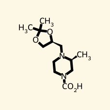 C[C@H]1CN(C(=O)O)CCN1C[C@H]1COC(C)(C)O1